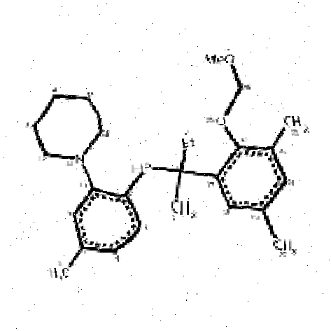 CCC(C)(Pc1ccc(C)cc1N1CCCCC1)c1cc(C)cc(C)c1OCOC